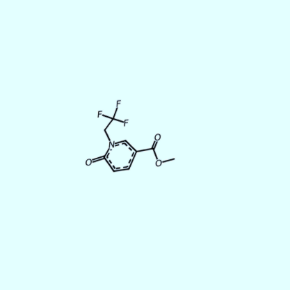 COC(=O)c1ccc(=O)n(CC(F)(F)F)c1